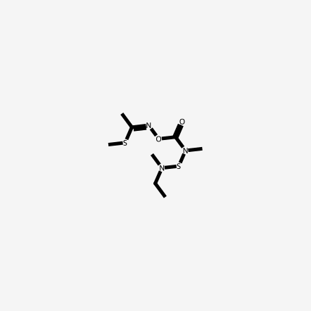 CCN(C)SN(C)C(=O)ON=C(C)SC